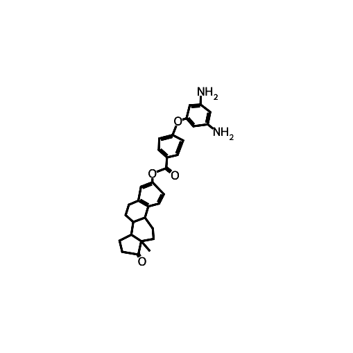 CC12CCC3c4ccc(OC(=O)c5ccc(Oc6cc(N)cc(N)c6)cc5)cc4CCC3C1CCC2=O